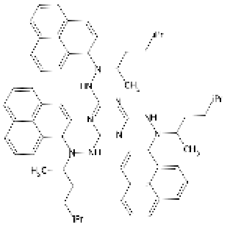 CC(C)CCC(C)N(Nc1nc(NN(C(C)CCC(C)C)C2C=Cc3cccc4cccc2c34)nc(NN(C(C)CCC(C)C)C2C=Cc3cccc4cccc2c34)n1)C1C=Cc2cccc3cccc1c23